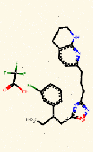 O=C(O)C(F)(F)F.O=C(O)CC(Cc1nc(CCCc2ccc3c(n2)NCCC3)no1)c1cccc(Br)c1